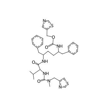 CC(C)C(NC(=O)N(C)Cc1cscn1)C(=O)NC(CCC(Cc1ccccc1)NC(=O)OCc1cncs1)Cc1ccccc1